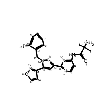 CC(C)(N)C(=O)Nc1ccnc(-c2cc(-c3ccon3)n(Cc3ccccc3F)n2)n1